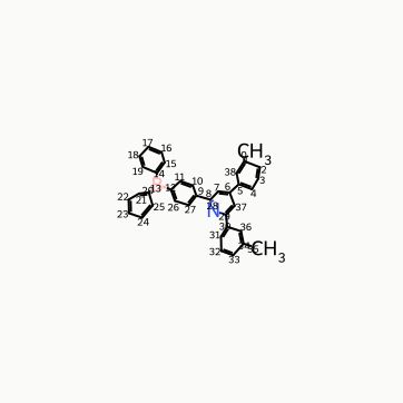 Cc1cccc(-c2cc(-c3ccc(B(c4ccccc4)c4ccccc4)cc3)nc(-c3cccc(C)c3)c2)c1